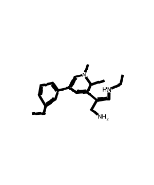 CCN/C=C(/CN)C1=CC(c2cccc(CC)c2)=CN(C)C1C